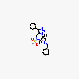 CS(=O)(=O)N1Cc2c(-c3ccccc3)nnn2[C@@H]2CN(Cc3ccccc3)C[C@H]21